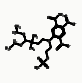 C[SiH2]OC(O[SiH2]C)C(C)(C)CCN(CCOS(C)(=O)=O)c1cc(C(N)=O)c([N+](=O)[O-])cc1[N+](=O)[O-]